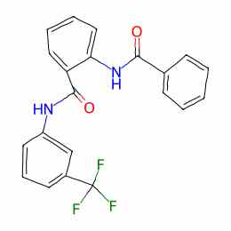 O=C(Nc1ccccc1C(=O)Nc1cccc(C(F)(F)F)c1)c1ccccc1